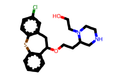 OCCN1CCNCC1CCOC1Cc2cc(Cl)ccc2Sc2ccccc21